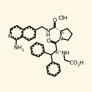 Cl.Nc1nccc2cc(CNC(=O)[C@@H]3CCCN3C(=O)[C@H](NCC(=O)O)C(c3ccccc3)c3ccccc3)ccc12